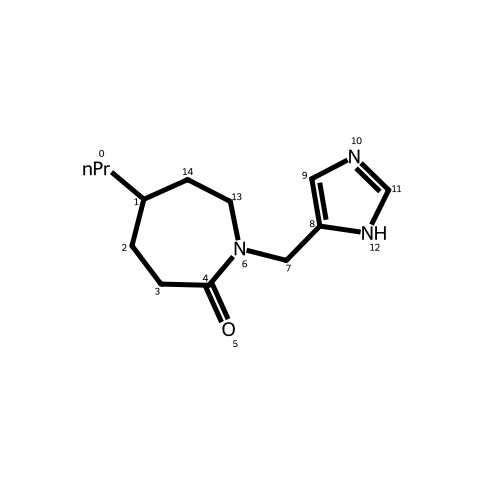 CCCC1CCC(=O)N(Cc2cnc[nH]2)CC1